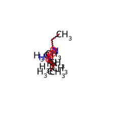 CCCCCCCC/C=C\CCCCCCCCOCC(CN1CCCCC1)OCCOC(=O)C(NC(=O)O[C@H]1CC[C@@]2(C)C(=CCC3[C@@H]2CC[C@]2(C)C([C@@H](C)CCCC(C)C)CC[C@@H]32)C1)C(C)C